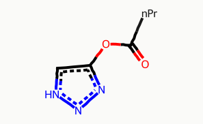 CCCC(=O)Oc1c[nH]nn1